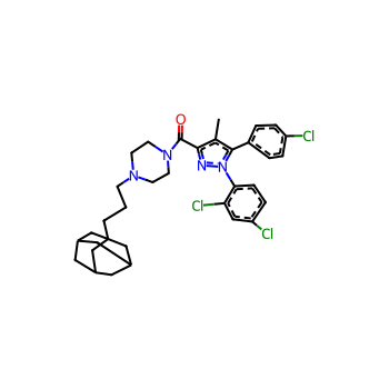 Cc1c(C(=O)N2CCN(CCCC34CC5CC(CC(C5)C3)C4)CC2)nn(-c2ccc(Cl)cc2Cl)c1-c1ccc(Cl)cc1